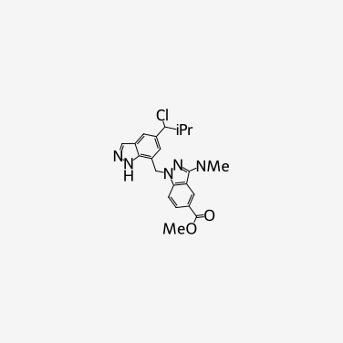 CNc1nn(Cc2cc(C(Cl)C(C)C)cc3cn[nH]c23)c2ccc(C(=O)OC)cc12